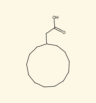 O=C(O)CC1CCCCCCCCCCCC1